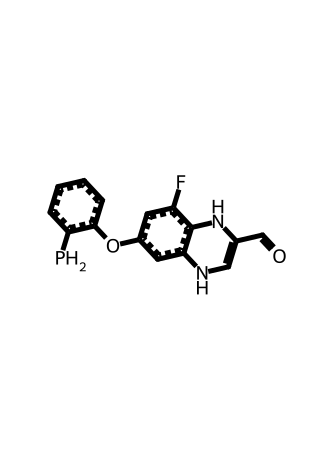 O=CC1=CNc2cc(Oc3ccccc3P)cc(F)c2N1